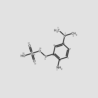 CN(C)c1ccc(N)c(SOS(=O)(=O)O)c1